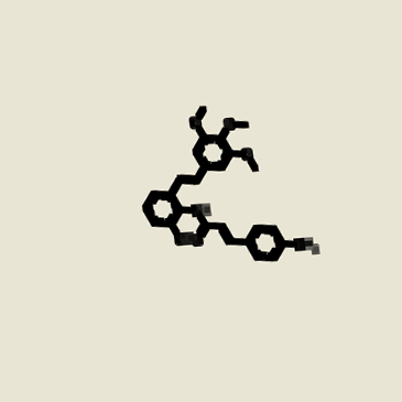 COc1cc(C=Cc2cccc(O)c2NC(=O)/C=C/c2ccc(N)cc2)cc(OC)c1OC